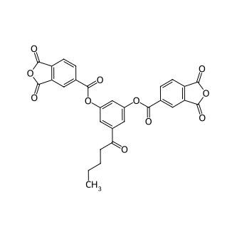 CCCCC(=O)c1cc(OC(=O)c2ccc3c(c2)C(=O)OC3=O)cc(OC(=O)c2ccc3c(c2)C(=O)OC3=O)c1